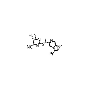 CC(C)c1cn(C)c2cnc(C(C)Sc3nc(N)cc(C#N)n3)cc12